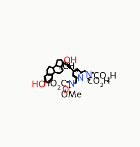 COOCN(CC(=O)O)Cc1cc(C#C[C@]2(O)CCC3C4CCc5cc(O)ccc5C4CC[C@@]32C)cc(CN(CC(=O)O)CC(=O)O)n1